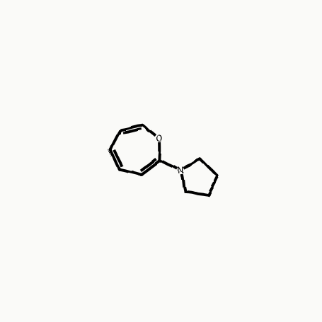 C1=CC=C(N2CCCC2)OC=C1